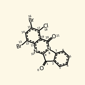 O=C1c2ccccc2-n2c1nc1c(Br)cc(Br)c(Cl)c1c2=O